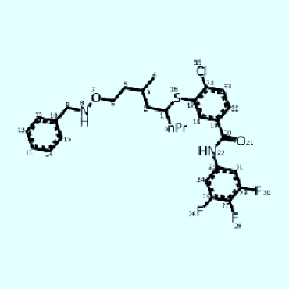 CCCC(CC(C)CCONCc1ccccc1)Sc1cc(C(=O)Nc2cc(F)c(F)c(F)c2)ccc1Cl